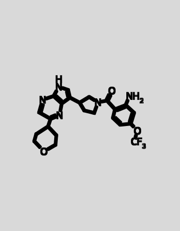 Nc1cc(OC(F)(F)F)ccc1C(=O)N1CCC(c2c[nH]c3ncc(C4CCOCC4)nc23)C1